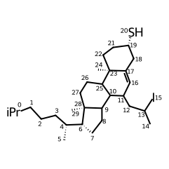 CC(C)CCC[C@@H](C)[C@H]1CCC2C3C(CC(C)I)C=C4C[C@@H](S)CC[C@]4(C)C3CC[C@@]21C